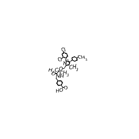 Cc1ccc(-c2c(C)c(COC(C)(C)C(=O)NCc3ccc(C(=O)O)cc3)nn2-c2ccc(Cl)cc2Cl)cc1